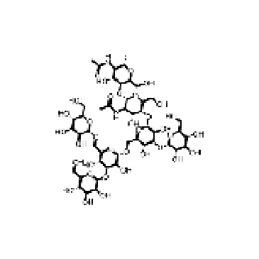 CC(=O)NC1[C@H](O[C@@H]2C(CO)O[C@@H](C)C(NC(C)=O)[C@H]2O)OC(CO)[C@@H](O[C@@H]2OC(CO[C@H]3OC(CO[C@@H]4OC(CO)[C@@H](O)[C@H](O)C4O)[C@@H](O)[C@H](O[C@@H]4OC(CO)[C@@H](O)[C@H](O)C4O)C3O)[C@@H](O)[C@H](O[C@@H]3OC(CO)[C@H](O)C(O)[C@@H]3O)C2O)[C@@H]1O